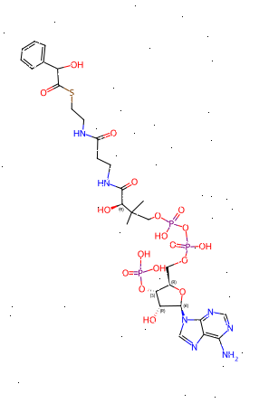 CC(C)(COP(=O)(O)OP(=O)(O)OC[C@H]1O[C@@H](n2cnc3c(N)ncnc32)[C@H](O)[C@@H]1OP(=O)(O)O)[C@@H](O)C(=O)NCCC(=O)NCCSC(=O)C(O)c1ccccc1